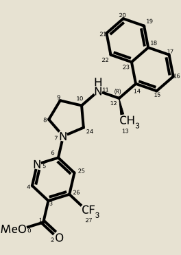 COC(=O)c1cnc(N2CCC(N[C@H](C)c3cccc4ccccc34)C2)cc1C(F)(F)F